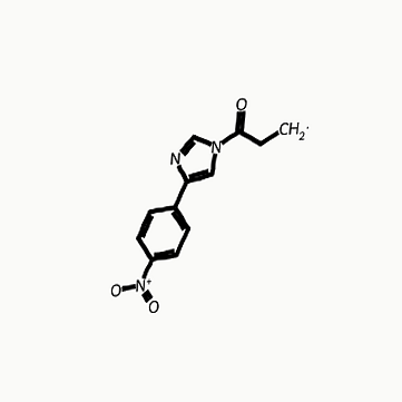 [CH2]CC(=O)n1cnc(-c2ccc([N+](=O)[O-])cc2)c1